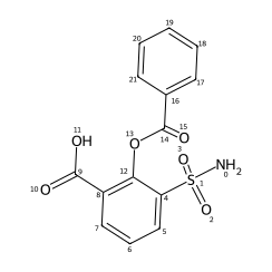 NS(=O)(=O)c1cccc(C(=O)O)c1OC(=O)c1ccccc1